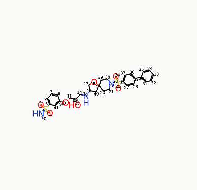 CNS(=O)(=O)c1cccc(OC[C@@H](O)CNC2COC3(CCN(S(=O)(=O)c4ccc(-c5ccccc5)cc4)CC3)C2)c1